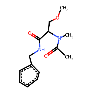 COC[C@H](C(=O)NCc1ccccc1)N(C)C(C)=O